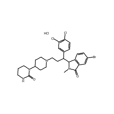 CN1C(=O)c2cc(Br)ccc2C1C(CCN1CCC(N2CCCNC2=O)CC1)c1ccc(Cl)c(Cl)c1.Cl